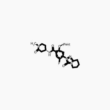 CCC[C@H](C)Oc1cc(-n2nc3n(c2=O)CCCC3)c(F)cc1C(=O)N[C@H]1CCN(C)C(=O)C1